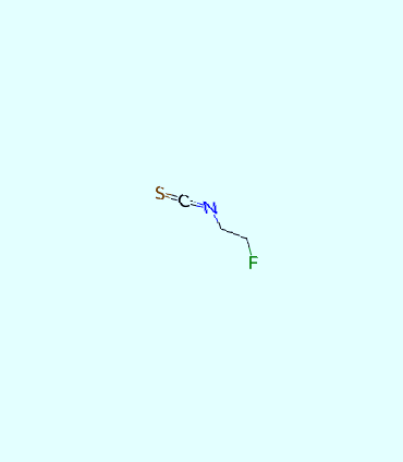 FCCN=C=S